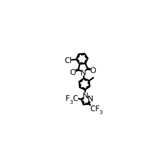 Cc1cc(-n2nc(C(F)(F)F)cc2C(F)(F)F)ccc1N1C(=O)c2cccc(Cl)c2C1=O